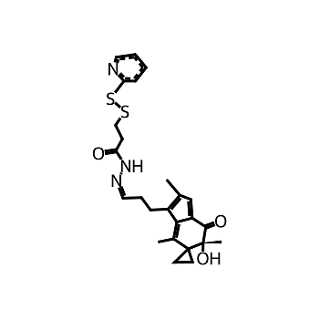 CC1=C(CC/C=N\NC(=O)CCSSc2ccccn2)C2=C(C)C3(CC3)[C@@](C)(O)C(=O)C2=C1